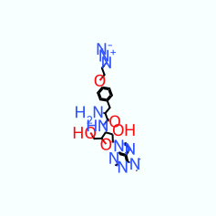 CN(C)c1ncnc2c1ncn2C1OC(CO)C(NC(=O)C(N)Cc2ccc(OCCN=[N+]=[N-])cc2)C1O